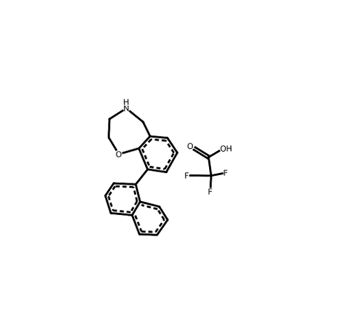 O=C(O)C(F)(F)F.c1cc2c(c(-c3cccc4ccccc34)c1)OCCNC2